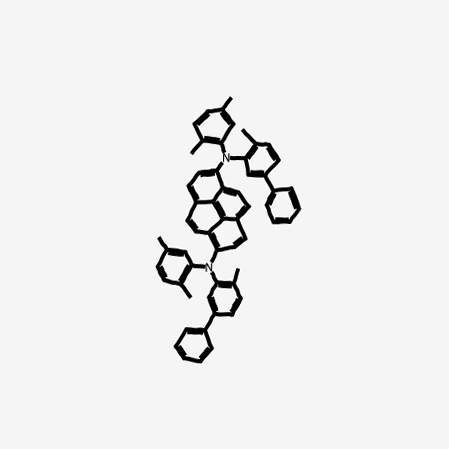 Cc1ccc(C)c(N(c2cc(-c3ccccc3)ccc2C)c2ccc3ccc4c(N(c5cc(C)ccc5C)c5cc(-c6ccccc6)ccc5C)ccc5ccc2c3c54)c1